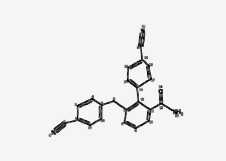 N#Cc1ccc(Cc2cccc(C(N)=O)c2-c2ccc(C#N)cc2)cc1